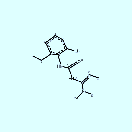 CCc1cccc(Cl)c1NC(=O)NC(=NC)N(C)C